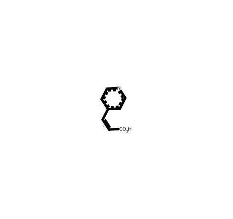 O=C(O)/C=C\c1ccncc1